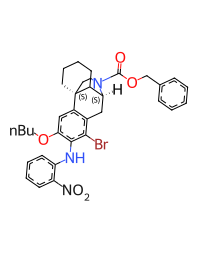 CCCCOc1cc2c(c(Br)c1Nc1ccccc1[N+](=O)[O-])C[C@H]1C3CCCC[C@@]23CCN1C(=O)OCc1ccccc1